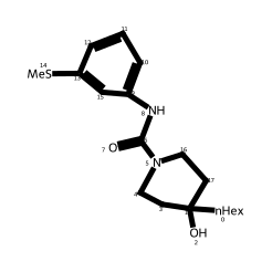 CCCCCCC1(O)CCN(C(=O)Nc2cccc(SC)c2)CC1